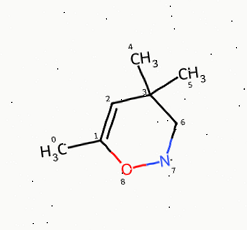 CC1=CC(C)(C)C[N]O1